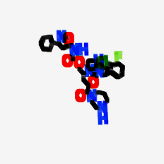 CN(C(=O)NCc1cccc(F)c1Cl)[C@@H](CCC(=O)N1CCCNCC1)COC(=O)Nc1cc(-c2ccccc2)no1